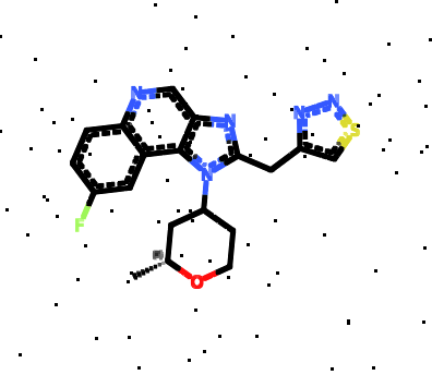 C[C@@H]1CC(n2c(Cc3csnn3)nc3cnc4ccc(F)cc4c32)CCO1